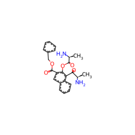 C[C@H](N)C(=O)Oc1c(C(=O)OCc2ccccc2)cc2ccccc2c1C(=O)[C@@H](C)N